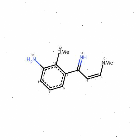 CN/C=C\C(=N)c1cccc(N)c1OC